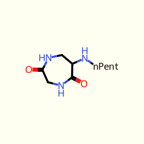 CCCCCNC1CNC(=O)CNC1=O